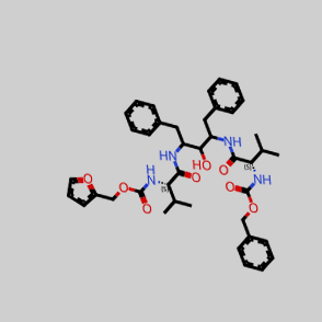 CC(C)[C@H](NC(=O)OCc1ccccc1)C(=O)NC(Cc1ccccc1)C(O)C(Cc1ccccc1)NC(=O)[C@@H](NC(=O)OCc1ccco1)C(C)C